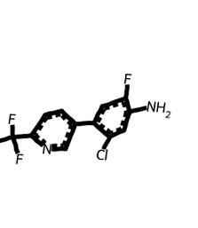 Nc1cc(Cl)c(-c2ccc(C(F)(F)F)nc2)cc1F